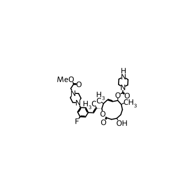 COC(=O)CN1CCN(c2cc(F)cc(/C=C(\C)[C@H]3OC(=O)C[C@H](O)CC[C@H](C)[C@H](OC(=O)N4CCNCC4)/C=C/[C@@H]3C)c2)CC1